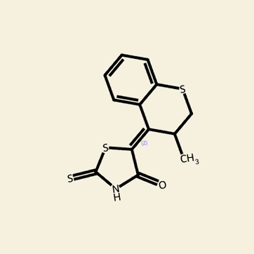 CC1CSc2ccccc2/C1=C1\SC(=S)NC1=O